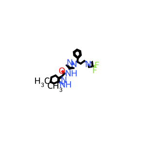 CC1(C)CCc2c(C(=O)Nc3cnn(C(CCN4CC(F)(F)C4)c4ccccc4)c3)n[nH]c2C1